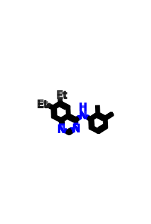 CCc1cc2ncnc(Nc3cccc(C)c3C)c2cc1CC